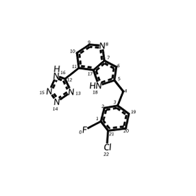 Fc1cc(Cc2cc3nccc(-c4nnn[nH]4)c3[nH]2)ccc1Cl